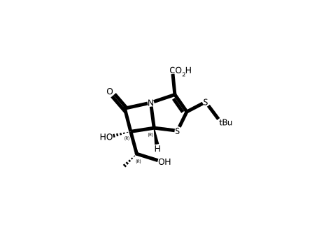 C[C@@H](O)[C@@]1(O)C(=O)N2C(C(=O)O)=C(SC(C)(C)C)S[C@@H]21